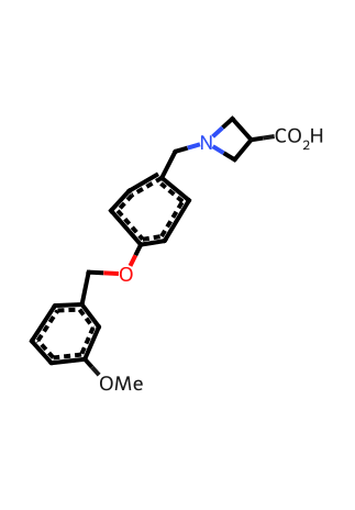 COc1cccc(COc2ccc(CN3CC(C(=O)O)C3)cc2)c1